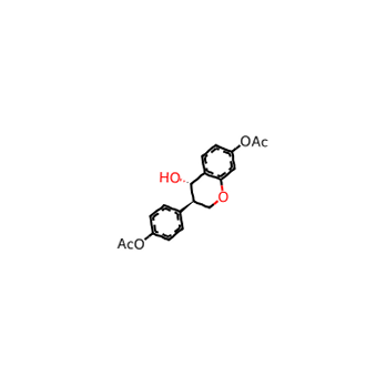 CC(=O)Oc1ccc([C@@H]2COc3cc(OC(C)=O)ccc3[C@H]2O)cc1